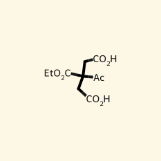 CCOC(=O)C(CC(=O)O)(CC(=O)O)C(C)=O